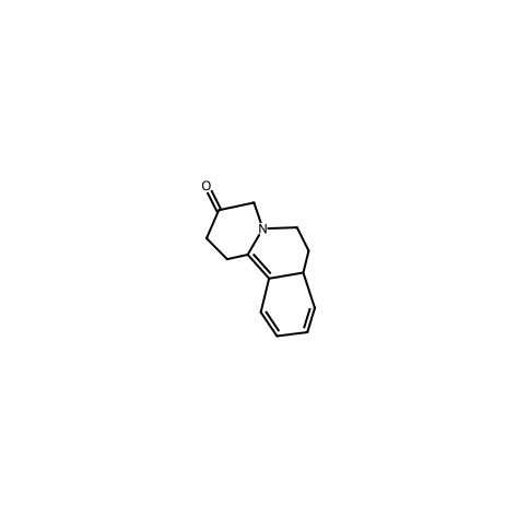 O=C1CCC2=C3C=CC=CC3CCN2C1